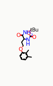 Cc1cccc(OCCC(NC(=O)OC(C)(C)C)C(N)=O)c1C